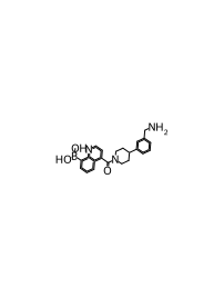 NCc1cccc(C2CCN(C(=O)c3ccnc4c(B(O)O)cccc34)CC2)c1